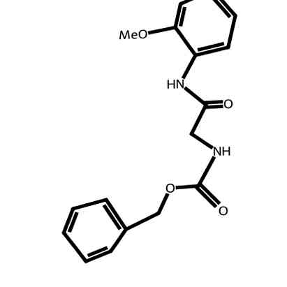 COc1ccccc1NC(=O)CNC(=O)OCc1ccccc1